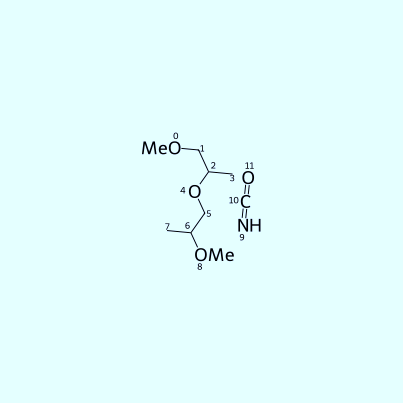 COCC(C)OCC(C)OC.N=C=O